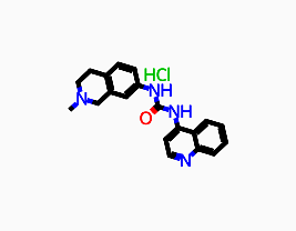 CN1CCc2ccc(NC(=O)Nc3ccnc4ccccc34)cc2C1.Cl